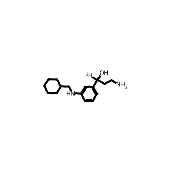 [2H]C(O)(CCN)c1cccc(NCC2CCCCC2)c1